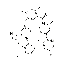 Cc1cc(C)c(C(=O)N2CCN(c3ccc(F)cn3)C[C@@H]2C)cc1CN1CCN(c2ccccc2CCCN)CC1